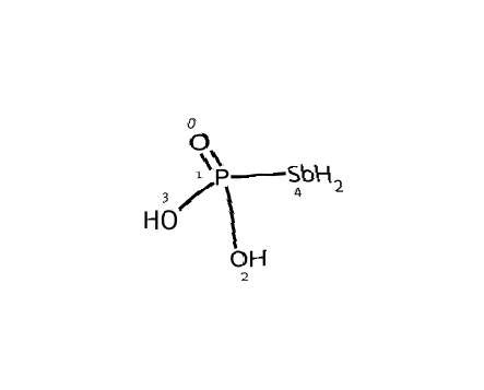 O=[P](O)(O)[SbH2]